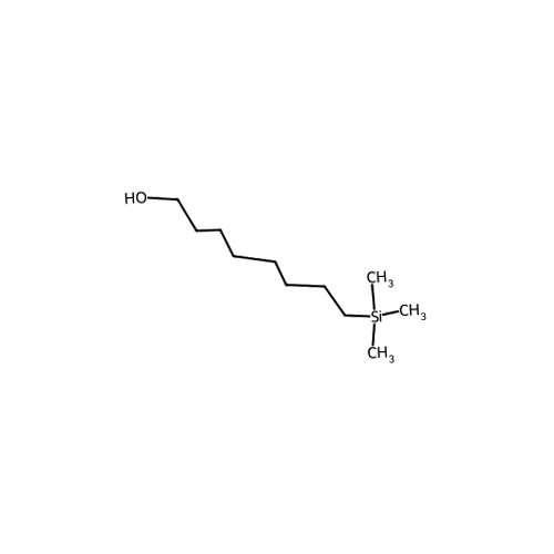 C[Si](C)(C)CCCCCCCCO